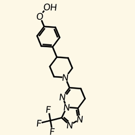 OOc1ccc(C2CCN(C3=Nn4c(nnc4C(F)(F)F)CC3)CC2)cc1